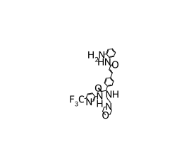 Nc1ccccc1NC(=O)C=Cc1ccc(C(NCCN2CCOCC2)C(=O)Nc2ccc(C(F)(F)F)nc2)cc1